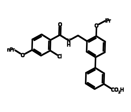 CCCOc1ccc(C(=O)NCc2cc(-c3cccc(C(=O)O)c3)ccc2OC(C)C)c(Cl)c1